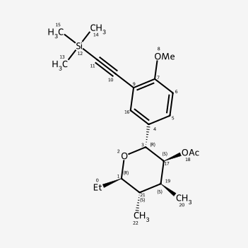 CC[C@H]1O[C@H](c2ccc(OC)c(C#C[Si](C)(C)C)c2)[C@@H](OC(C)=O)[C@@H](C)[C@@H]1C